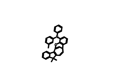 Cc1cccc(N(c2ccccc2)c2cccc3c2OC2=CC3C=CC3=C2c2ccccc2C3(C)C)c1